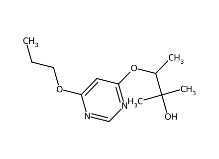 CCCOc1cc(OC(C)C(C)(C)O)ncn1